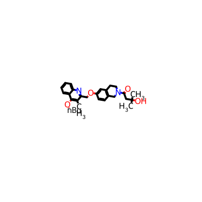 CCCCOc1c(C)c(COc2ccc3c(c2)CCN(C(=O)CC(C)(C)O)C3)nc2ccccc12